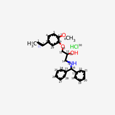 C/C=C/c1ccc(OC)c(OCC(O)CNC(c2ccccc2)c2ccccc2)c1.Cl